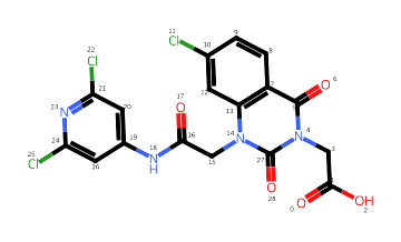 O=C(O)Cn1c(=O)c2ccc(Cl)cc2n(CC(=O)Nc2cc(Cl)nc(Cl)c2)c1=O